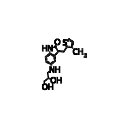 Cc1ccsc1C=C1C(=O)Nc2ccc(NCC(O)CO)cc21